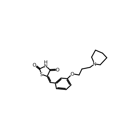 O=C1NC(=O)/C(=C\c2cccc(OCCCN3CCCCC3)c2)S1